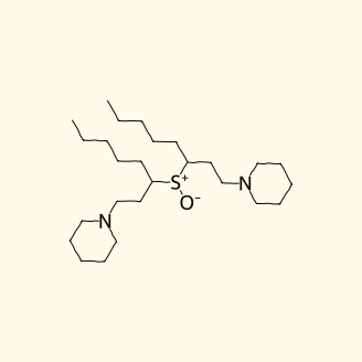 CCCCCC(CCN1CCCCC1)[S+]([O-])C(CCCCC)CCN1CCCCC1